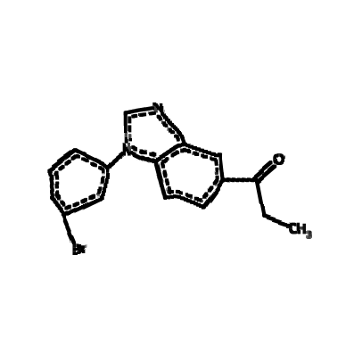 CCC(=O)c1ccc2c(c1)ncn2-c1cccc(Br)c1